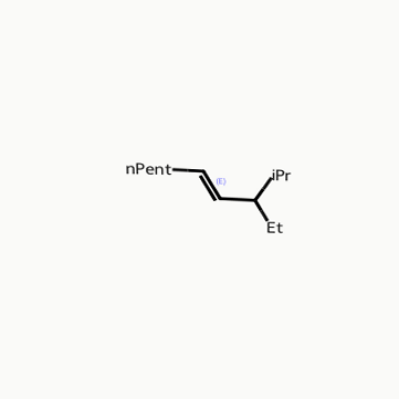 CCCCC/C=C/C(CC)C(C)C